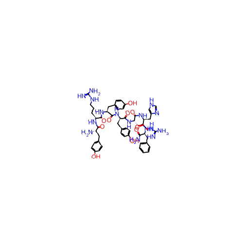 N=C(N)NCCC[C@H](NC(=O)[C@@H](N)Cc1ccc(O)cc1)C(=O)N[C@@H](Cc1ccc(O)cc1)C(=O)N[C@H](Cc1ccc(O)cc1)C(=O)N[C@@H](CCCNC(=N)N)C(=O)N[C@@H](Cc1c[nH]cn1)C(=O)N[C@@H](Cc1ccccc1)C(N)=O